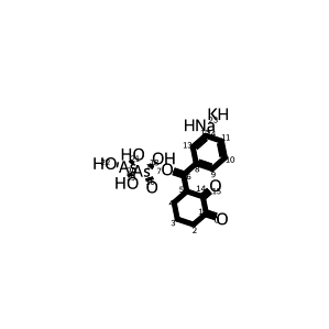 O=C1CCCC(C(=O)c2ccccc2)C1=O.O=[As]O.O[As](O)O.[KH].[NaH]